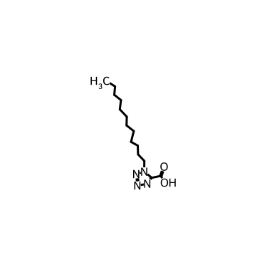 CCCCCCCCCCCCn1nnnc1C(=O)O